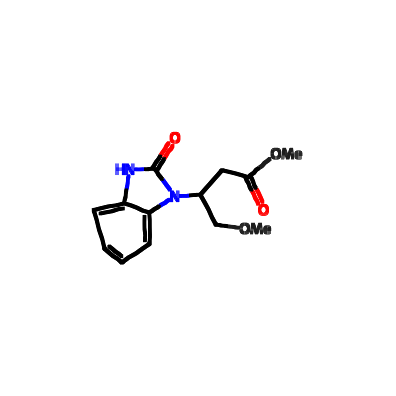 COCC(CC(=O)OC)n1c(=O)[nH]c2ccccc21